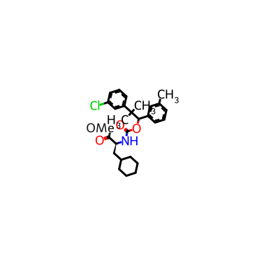 COC(=O)[C@H](CC1CCCCC1)NC(=O)OC(c1cccc(C)c1)C(C)(C)c1cccc(Cl)c1